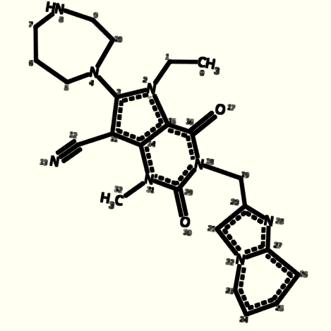 CCn1c(N2CCCNCC2)c(C#N)c2c1c(=O)n(Cc1cn3ccccc3n1)c(=O)n2C